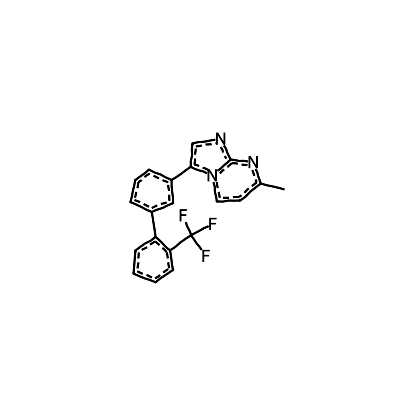 Cc1ccn2c(-c3cccc(-c4ccccc4C(F)(F)F)c3)cnc2n1